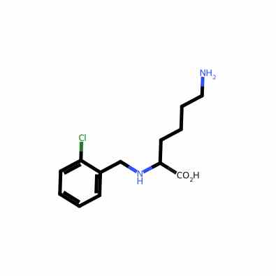 NCCCCC(NCc1ccccc1Cl)C(=O)O